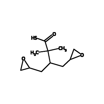 CC(C)(C(=O)S)C(CC1CO1)CC1CO1